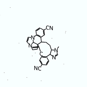 C=C1Cc2cc(C#N)ccc2C2N=CN(C)C2CCC2c3cc(C#N)ccc3N3C=CN4CCC12C43